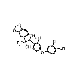 CC(c1ccc(Oc2ccc(C#N)c(Cl)c2)cc1Cl)C(O)(c1ccc2c(c1)OCO2)C(F)(F)F